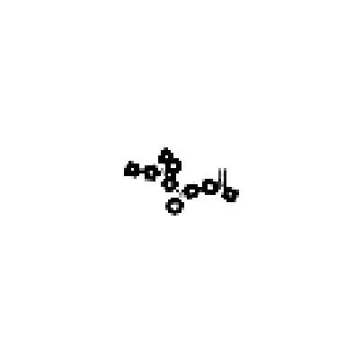 C1=CCC=CC(N(c2ccc(-c3ccc(Nc4ccccc4)cc3)cc2)c2ccc3c(c2)c2ccc4ccccc4c2n3-c2ccc(-c3ccccc3)cc2)=C1